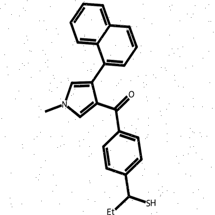 CCC(S)c1ccc(C(=O)c2cn(C)cc2-c2cccc3ccccc23)cc1